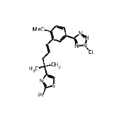 CCn1nnc(-c2ccc(OC)c(/C=C/CC(C)(C)c3csc(C(C)C)n3)c2)n1